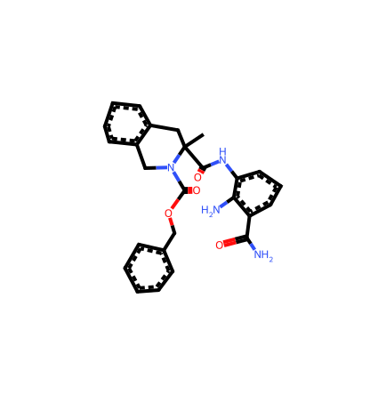 CC1(C(=O)Nc2cccc(C(N)=O)c2N)Cc2ccccc2CN1C(=O)OCc1ccccc1